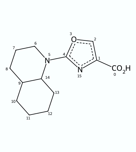 O=C(O)c1coc(N2CCCC3CCCCC32)n1